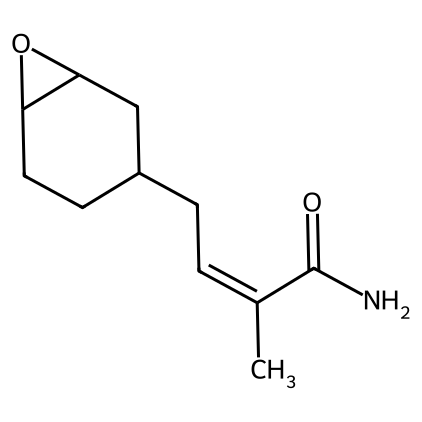 CC(=CCC1CCC2OC2C1)C(N)=O